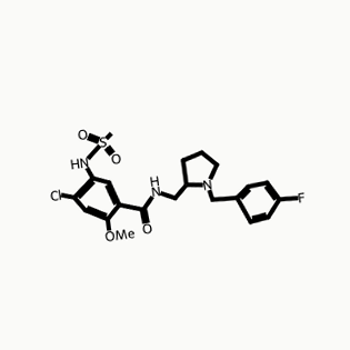 COc1cc(Cl)c(NS(C)(=O)=O)cc1C(=O)NCC1CCCN1Cc1ccc(F)cc1